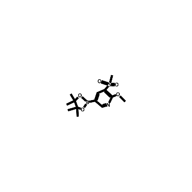 COc1ncc(B2OC(C)(C)C(C)(C)O2)cc1S(C)(=O)=O